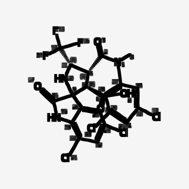 CN(C(=O)[C@@H]1[C@@H](C(=O)O)C2(N[C@@H]1C(F)(F)F)C(=O)Nc1c(Cl)cc(Cl)cc12)c1cc(Cl)cc(Cl)c1